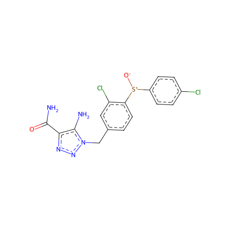 NC(=O)c1nnn(Cc2ccc([S+]([O-])c3ccc(Cl)cc3)c(Cl)c2)c1N